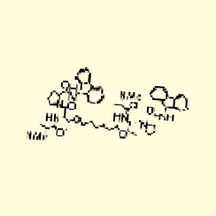 CN[C@@H](C)C(=O)N[C@H](C(=O)N1CCCC1C(=O)NC1c2ccccc2-c2ccccc21)[C@@H](C)OCCCCCCO[C@H](C)[C@@H](CN1CCC[C@H]1C(=O)NC1c2ccccc2-c2ccccc21)NC(=O)[C@H](C)NC